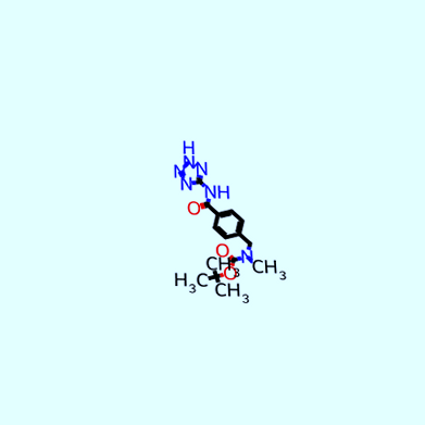 CN(Cc1ccc(C(=O)Nc2nn[nH]n2)cc1)C(=O)OC(C)(C)C